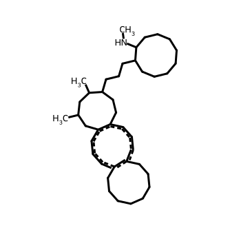 CNC1CCCCCCCCC1CCCC1CCc2cccc3c(cccc2CC(C)CC1C)CCCCCCCC3